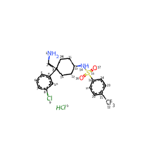 Cl.NC[C@]1(c2cccc(Cl)c2)CC[C@H](NS(=O)(=O)c2ccc(C(F)(F)F)cc2)CC1